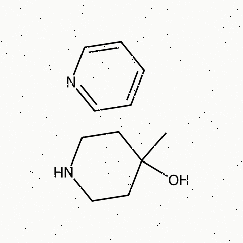 CC1(O)CCNCC1.c1ccncc1